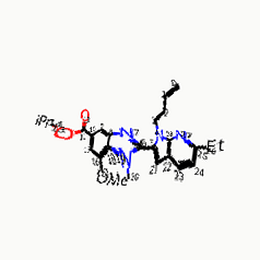 C=CCCn1c(-c2nc3cc(C(=O)OC(C)C)cc(OC)c3n2C)cc2ccc(CC)nc21